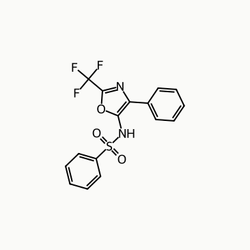 O=S(=O)(Nc1oc(C(F)(F)F)nc1-c1ccccc1)c1ccccc1